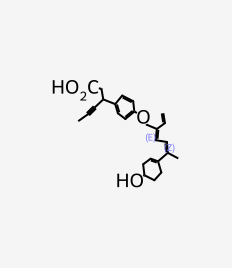 C=C/C(=C\C=C(\C)C1=CCC(O)CC1)COc1ccc(C(C#CC)CC(=O)O)cc1